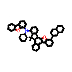 CC1(C)c2c(cccc2N(c2cccc3c2oc2ccccc23)C2CC=CCC2)-c2c1c1ccccc1c1c2oc2c(C3=CC4C=CC=CC4C=C3)cccc21